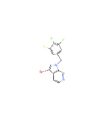 Fc1cc(Cn2cc(Br)c3ccncc32)cc(F)c1F